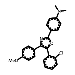 COc1ccc(-c2nc(-c3ccc(N(C)C)cc3)oc2-c2ccccc2Cl)cc1